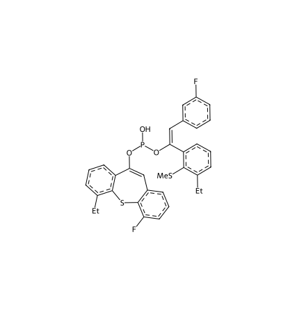 CCc1cccc2c1Sc1c(F)cccc1C=C2OP(O)O/C(=C/c1cccc(F)c1)c1cccc(CC)c1SC